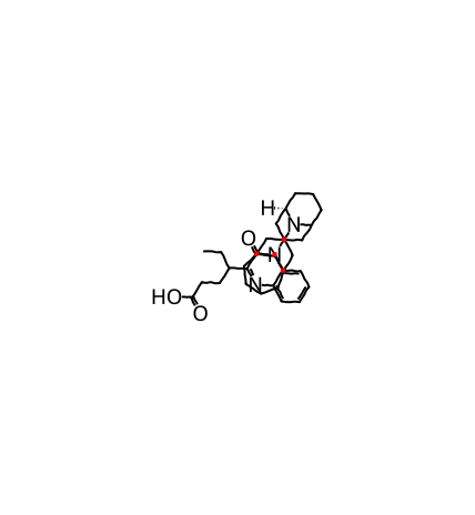 CCC(CCC(=O)O)c1nc2ccccc2n(C2CC3CCC[C@H](C2)N3C2CC3CCCCC(C3)C2)c1=O